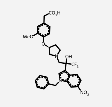 COc1cc(CC(=O)O)ccc1O[C@H]1CCN(CC(O)(c2cn(Cc3ccccc3)c3cc([N+](=O)[O-])ccc23)C(F)(F)F)C1